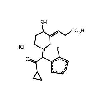 Cl.O=C(O)CC=C1CN(C(C(=O)C2CC2)c2ccccc2F)CCC1S